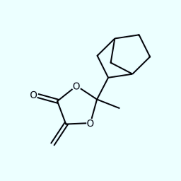 C=C1OC(C)(C2CC3CCC2C3)OC1=O